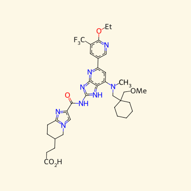 CCOc1ncc(-c2cc(N(C)CC3(COC)CCCCC3)c3[nH]c(NC(=O)c4cn5c(n4)CCC(CCC(=O)O)C5)nc3n2)cc1C(F)(F)F